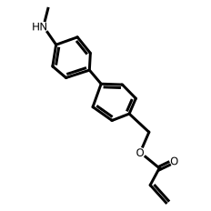 C=CC(=O)OCc1ccc(-c2ccc(NC)cc2)cc1